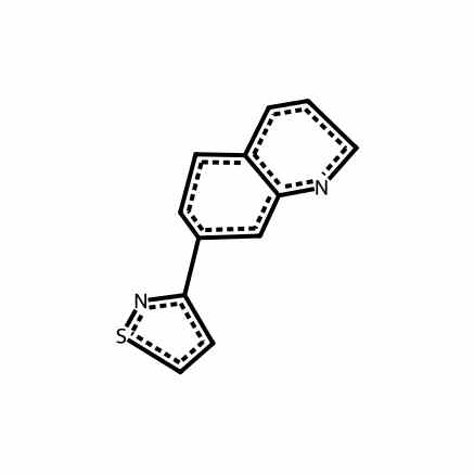 c1cnc2cc(-c3ccsn3)ccc2c1